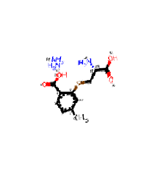 Cc1ccc(C(=O)O)c(SC[C@H](N)C(=O)O)c1.N.N